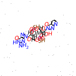 CO[C@H]1[C@H]2OP(=O)(S)OC[C@H]3O[C@@H](n4cnc5ncccc5c4=O)[C@H](O)[C@@H]3OP(=O)(S)OC[C@H]1O[C@H]2n1cnc2c(=O)[nH]c(N)nc21